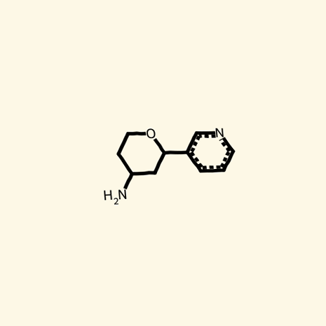 NC1CCOC(c2cccnc2)C1